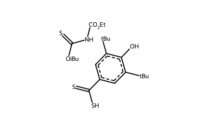 CC(C)(C)c1cc(C(=S)S)cc(C(C)(C)C)c1O.CCOC(=O)NC(=S)OCC(C)C